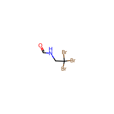 O=CNCC(Br)(Br)Br